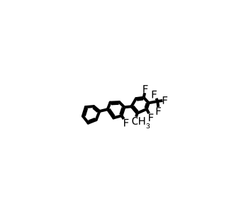 Cc1c(-c2ccc(-c3ccccc3)cc2F)cc(F)c(C(F)(F)F)c1F